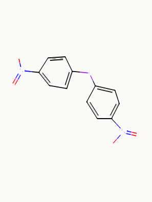 O=[N+]([O-])c1ccc([I+]c2ccc([N+](=O)[O-])cc2)cc1